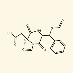 C[C@]1(CC(=O)O)C(=O)NC(C(OC=O)c2ccccc2)C(=O)N1C=O